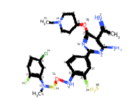 CC(=N)c1c(N)nc(-c2ccc(NOSN(C)c3cc(Cl)ccc3F)c(F)c2)nc1OC1CCN(C)CC1.S